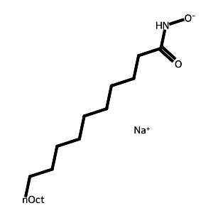 CCCCCCCCCCCCCCCCCC(=O)N[O-].[Na+]